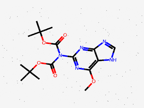 COc1nc(N(C(=O)OC(C)(C)C)C(=O)OC(C)(C)C)nc2nc[nH]c12